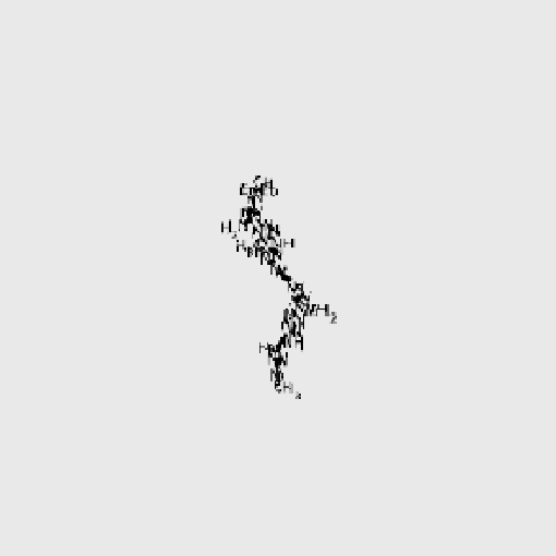 CCC(C)(CC)N=Nc1nc(N)n(C2=NN(C)C(Nc3nc(/N=N/CC/N=N/c4nc(N)n(-c5nnc(NCc6nc(/N=N/C)n[nH]6)nn5)n4)n[nH]3)N=N2)n1